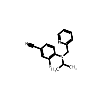 CC(C)N(Cc1ccccn1)c1ccc(C#N)cc1F